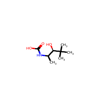 CC(NC(=O)O)[C@@H](O)C(C)(C)C